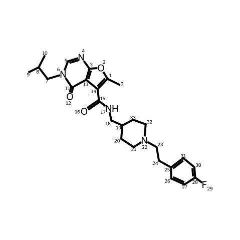 Cc1oc2ncn(CC(C)C)c(=O)c2c1C(=O)NCC1CCN(CCc2ccc(F)cc2)CC1